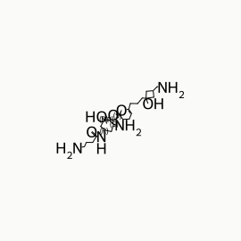 NCCCC(=O)N[C@H]1C[C@@H](O)[C@H](O[C@@H]2CCC=C(CCCC3(O)CC(CN)C3)O2)[C@@H](N)C1